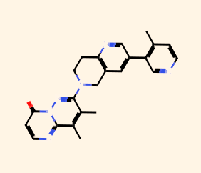 Cc1ccncc1-c1cnc2c(c1)CN(c1nn3c(=O)ccnc3c(C)c1C)CC2